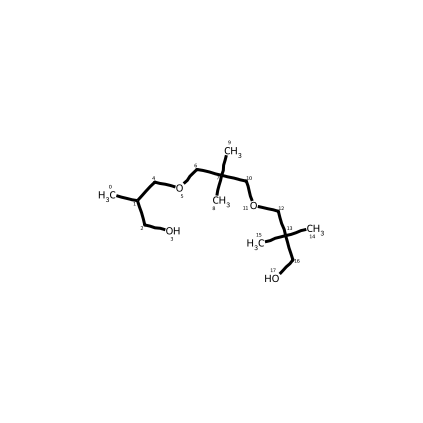 CC(CO)COCC(C)(C)COCC(C)(C)CO